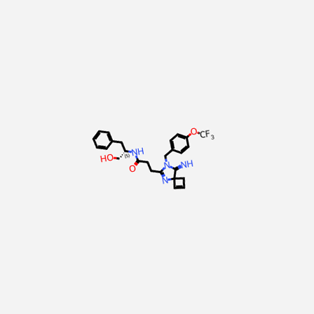 N=C1N(Cc2ccc(OC(F)(F)F)cc2)C(CCC(=O)N[C@H](CO)Cc2ccccc2)=NC12C=CC2